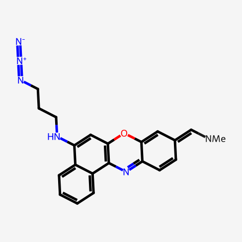 CN/C=c1\ccc2c(c1)Oc1cc(NCCCN=[N+]=[N-])c3ccccc3c1N=2